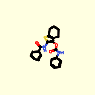 O=C(Nc1ccccc1)Oc1c(NC(=O)c2ccccc2)sc2c1CCCC2